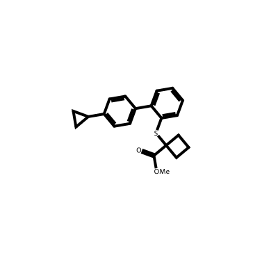 COC(=O)C1(Sc2ccccc2-c2ccc(C3CC3)cc2)CCC1